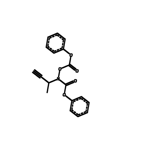 C#CC(C)N(OC(=O)Oc1ccccc1)C(=O)Oc1ccccc1